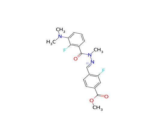 COC(=O)c1ccc(/C=N/N(C)C(=O)c2cccc(N(C)C)c2F)c(F)c1